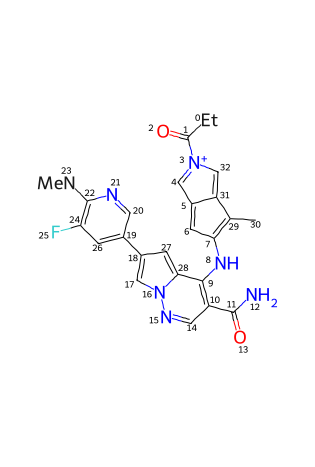 CCC(=O)[N+]1=CC2=CC(Nc3c(C(N)=O)cnn4cc(-c5cnc(NC)c(F)c5)cc34)=C(C)C2=C1